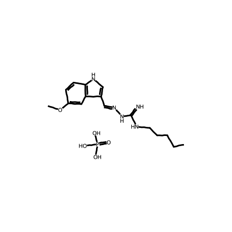 CCCCCNC(=N)N/N=C/c1c[nH]c2ccc(OC)cc12.O=P(O)(O)O